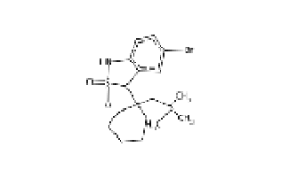 C[Si](C)(C)CC1(C2c3cc(Br)ccc3NS2(=O)=O)CCCCC1